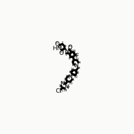 O=C1CCC(N2Cc3cc(C4CCN(Cc5ccc(N6CCC(c7ncc(Cl)cn7)CC6)cc5)CC4)c(F)cc3C2=O)C(=O)N1